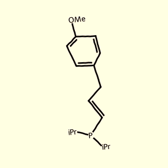 COc1ccc(CC=CP(C(C)C)C(C)C)cc1